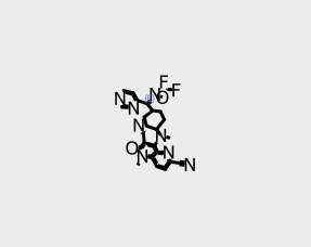 CN(c1c(C#N)c(=O)n(C)c2ccc(C#N)nc12)C1CCC(/C(=N\OC(F)F)c2ccncn2)CC1